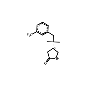 CC(C)(Cc1cccc(C(F)(F)F)c1)[C@@H]1CNC(=O)C1